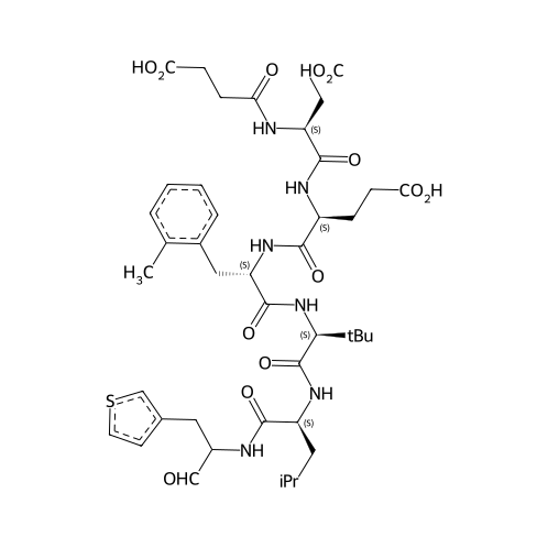 Cc1ccccc1C[C@H](NC(=O)[C@H](CCC(=O)O)NC(=O)[C@H](CC(=O)O)NC(=O)CCC(=O)O)C(=O)N[C@H](C(=O)N[C@@H](CC(C)C)C(=O)NC(C=O)Cc1ccsc1)C(C)(C)C